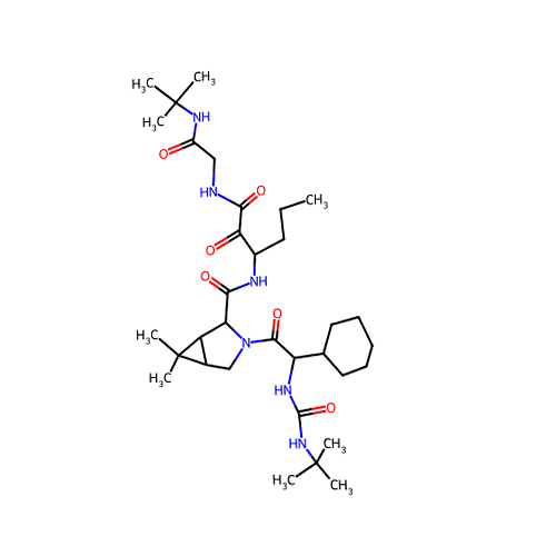 CCCC(NC(=O)C1C2C(CN1C(=O)C(NC(=O)NC(C)(C)C)C1CCCCC1)C2(C)C)C(=O)C(=O)NCC(=O)NC(C)(C)C